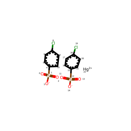 O=S(=O)([O-])c1ccc(Cl)cc1.O=S(=O)([O-])c1ccc(Cl)cc1.[Hg+2]